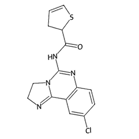 O=C(NC1=Nc2ccc(Cl)cc2C2=NCCN12)C1CC=CS1